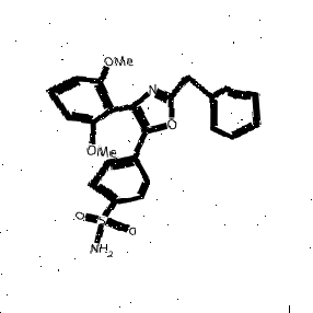 COc1cccc(OC)c1-c1nc(Cc2ccccc2)oc1-c1ccc(S(N)(=O)=O)cc1